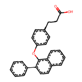 O=C(O)CCc1ccc(Oc2c(-c3ccccc3)ccc3ccccc23)cc1